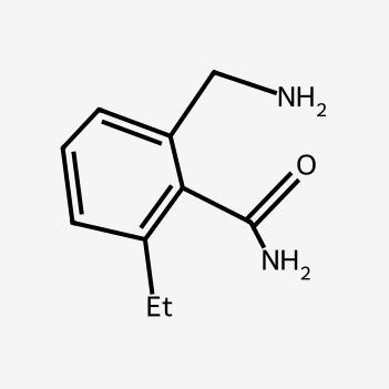 CCc1cccc(CN)c1C(N)=O